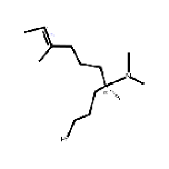 C/[C]=C(\C)CCC[C@](C)(CCCC(C)C)N(C)C